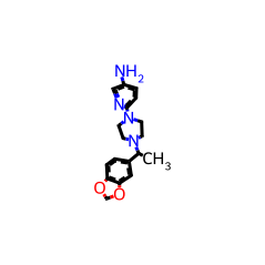 CC(c1ccc2c(c1)OCO2)N1CCN(c2ccc(N)cn2)CC1